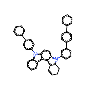 C1=Cc2c(n(-c3cccc(-c4ccc(-c5ccccc5)cc4)c3)c3ccc4c(c5ccccc5n4-c4ccc(-c5ccccc5)cc4)c23)CC1